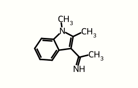 CC(=N)c1c(C)n(C)c2ccccc12